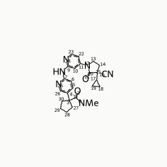 CNC(=O)C1(c2ccc(Nc3cc(N4CC[C@@](C#N)(C5CC5)C4=O)ccn3)nc2)CCCC1